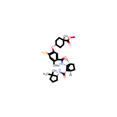 COc1cc(P)c(O[C@H]2CC[C@@](C)(C(=O)OI)CC2)cc1C(=O)N[C@@H]1[C@H]2CC[C@H](C2)[C@@H]1C(=O)N[C@@H]1CCCC1(C)C